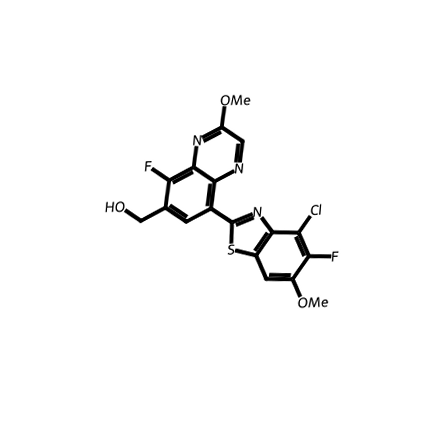 COc1cnc2c(-c3nc4c(Cl)c(F)c(OC)cc4s3)cc(CO)c(F)c2n1